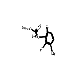 COC(=O)Nc1c(Cl)ccc(Br)c1F